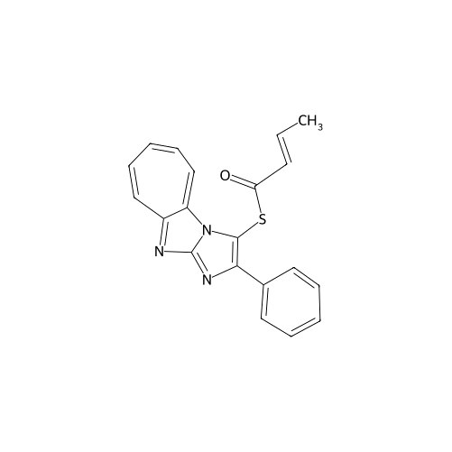 CC=CC(=O)Sc1c(-c2ccccc2)nc2nc3cccccc3n12